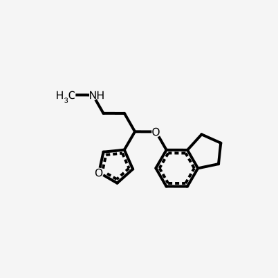 CNCCC(Oc1cccc2c1CCC2)c1ccoc1